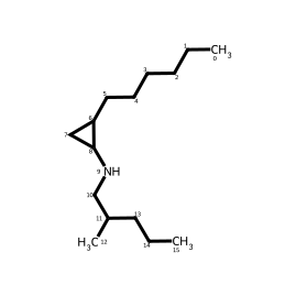 CCCCCCC1CC1NCC(C)CCC